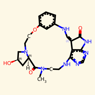 CN1CCNc2ncnc3c2/C(=C/Nc2cccc(c2)OCCN2C[C@H](O)C[C@@H]2C1=O)C(=O)N3